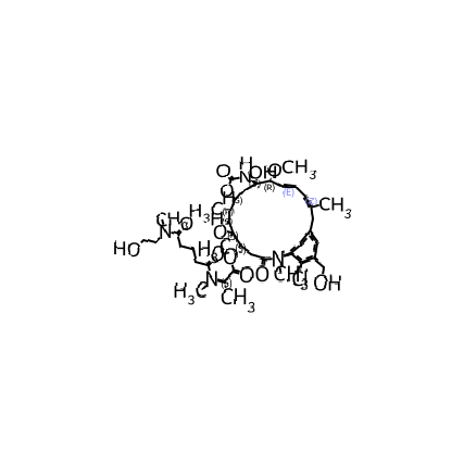 CO[C@@H]1/C=C/C=C(/C)Cc2cc(CO)c(Cl)c(c2)N(C)C(=O)C[C@H](OC(=O)[C@H](C)N(C)C(=O)CCCC(=O)N(C)CCO)[C@]2(C)O[C@H]2[C@H](C)[C@@H]2C[C@@]1(O)NC(=O)O2